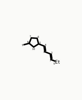 CCC=CC=CC1CCC(C)C1